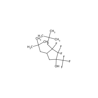 CC(C)(C)CC1CC(O)(C(F)(F)F)C(F)(F)C1(F)CC(C)(C)C